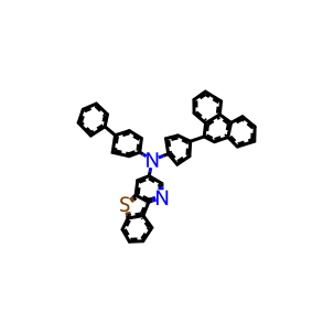 c1ccc(-c2ccc(N(c3ccc(-c4cc5ccccc5c5ccccc45)cc3)c3cnc4c(c3)sc3ccccc34)cc2)cc1